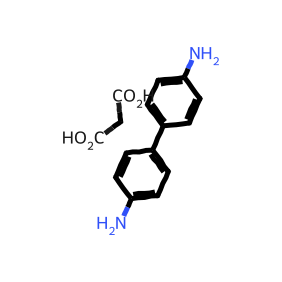 Nc1ccc(-c2ccc(N)cc2)cc1.O=C(O)CC(=O)O